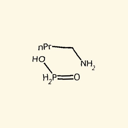 CCCCN.O=[PH2]O